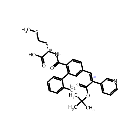 CSCC[C@H](NC(=O)c1ccc(/C=C(\C(=O)OC(C)(C)C)c2cccnc2)cc1-c1ccccc1C)C(=O)O